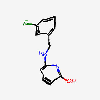 Oc1cccc(NCc2cccc(F)c2)n1